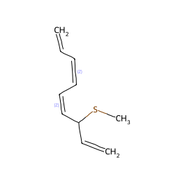 C=C/C=C\C=C/C(C=C)SC